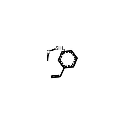 C=Cc1ccccc1.CO[SiH3]